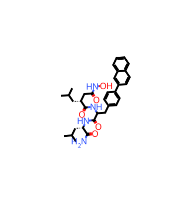 CC(C)C[C@H](CC(=O)NO)C(=O)NC(Cc1ccc(-c2ccc3ccccc3c2)cc1)C(=O)N[C@@H](CC(C)C)C(N)=O